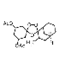 CC(=O)OC1CC(OC(C)=O)CC2(C1)OOC1(O2)C(C)C[C@@H]2CCCC1C2